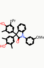 CCCc1cc(C2(c3cc(C)c(O)c(C)c3)C(=O)N(c3cccc(OC)c3)c3ccccc32)cc(C)c1O